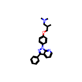 CC(COc1ccc(-n2nc(-c3ccccc3)c3cccnc32)cc1)CN(C)C